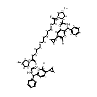 O=C(N[C@@H](c1ccccc1)c1ccc(C2CC2)c(F)n1)[C@@H]1C[C@@H](F)CN1C(=O)COCCOCCOCCOCC(=O)N1C[C@H](F)C[C@H]1C(=O)N[C@@H](c1ccccc1)c1ccc(C2CC2)c(F)n1